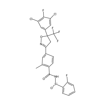 Cc1cc(C2=NOC(c3cc(Cl)c(F)c(Cl)c3)(C(F)(F)F)C2)ccc1C(=O)N[S+]([O-])c1ccccc1F